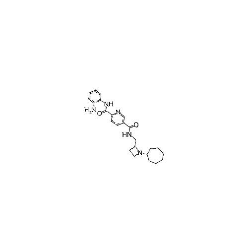 Nc1ccccc1NC(=O)c1ccc(C(=O)NCC2CCN2C2CCCCCC2)cn1